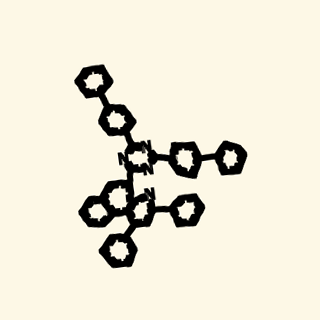 c1ccc(-c2ccc(-c3nc(-c4ccc(-c5ccccc5)cc4)nc(-c4cc5ccccc5c5c(-c6ccccc6)cc(-c6ccccc6)nc45)n3)cc2)cc1